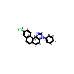 Clc1ccc2c(ccc3ccc4c(ncn4-c4ccccc4)c32)c1